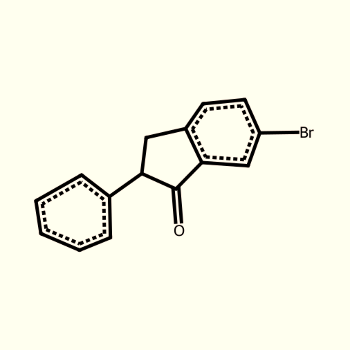 O=C1c2cc(Br)ccc2CC1c1ccccc1